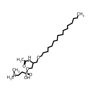 CCCCCCCCCCCCCCCCOCC(COP(=O)(O)CCN(C)C)NC(C)=O